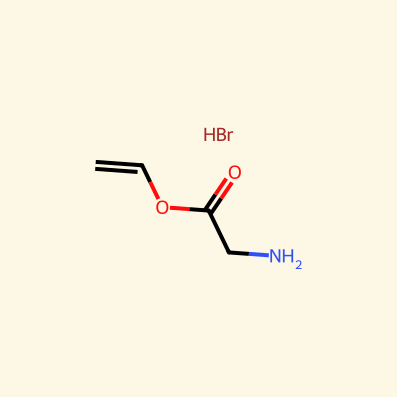 Br.C=COC(=O)CN